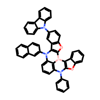 c1ccc(N2c3cccc4c3B(c3oc5ccc(-n6c7ccccc7c7ccccc76)cc5c3N4c3ccc4ccccc4c3)c3c2oc2ccccc32)cc1